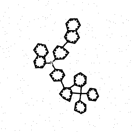 c1ccc(C2(c3ccccc3)c3ccccc3-c3c(-c4ccc(N(c5ccc(-c6ccc7ccccc7c6)cc5)c5cccc6ccccc56)cc4)cccc32)cc1